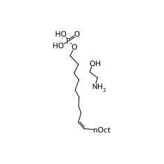 CCCCCCCC/C=C\CCCCCCCCOP(=O)(O)O.NCCO